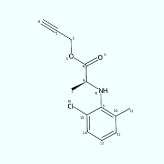 C#CCOC(=O)[C@H](C)Nc1c(C)cccc1Cl